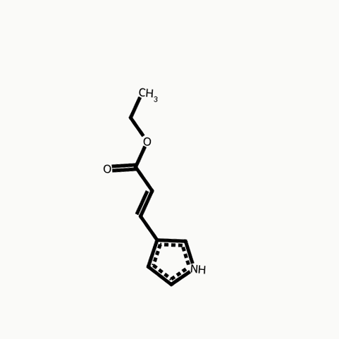 CCOC(=O)C=Cc1cc[nH]c1